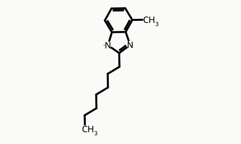 CCCCCCCC1=Nc2c(C)cccc2[N]1